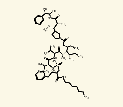 CC[C@H](C)[C@@H]([C@@H](CC(=O)N1CCC([C@H](OC)[C@@H](C)C(=O)N[C@H](C)[C@@H](O)c2ccccc2)C1)OC)N(C)C(=O)C(NC(=O)[C@H](C(C)C)N(C)P(=O)(O)OC(CCc1cccnc1)C(=O)NCCCCCCN)C(C)C